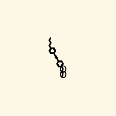 CCCCc1ccc(C#Cc2ccc(OCOC)cc2)cc1